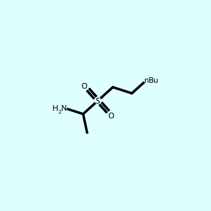 CCCCCCS(=O)(=O)C(C)N